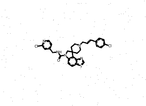 O=C(NCc1ccnc(Cl)c1)N1CC2(CCN(C/C=C/c3ccc(Cl)cc3)CC2)c2c1ccc1scnc21